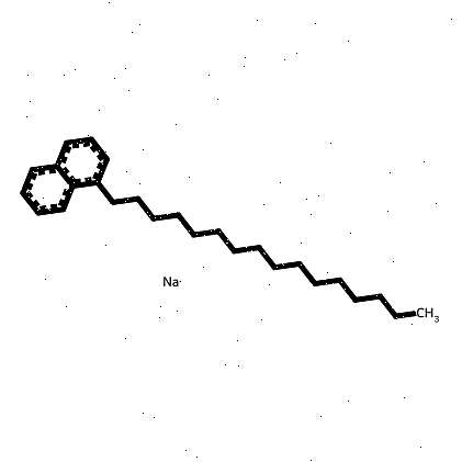 CCCCCCCCCCCCCCCCc1cccc2ccccc12.[Na]